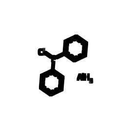 ClP(c1ccccc1)c1ccccc1.[AlH3]